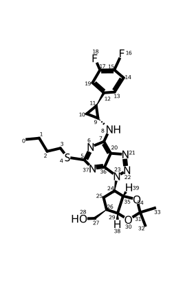 CCCCSc1nc(N[C@@H]2C[C@H]2c2ccc(F)c(F)c2)c2nnn([C@@H]3C[C@H](CO)[C@H]4OC(C)(C)O[C@H]43)c2n1